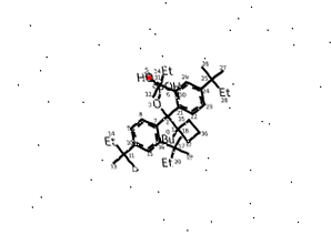 CCCCC1(C(OP(O)O)(c2ccc(C(C)(C)CC)cc2C(C)(C)CC)c2ccc(C(C)(C)CC)cc2C(C)(C)CC)CCC1